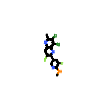 CPc1ncc(-c2nc3c(Cl)c(Cl)c(C)nc3cc2F)cc1F